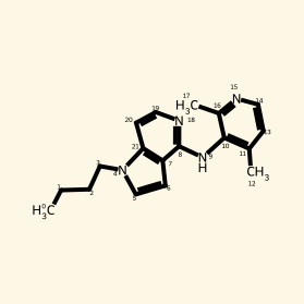 CCCCn1ccc2c(Nc3c(C)ccnc3C)nccc21